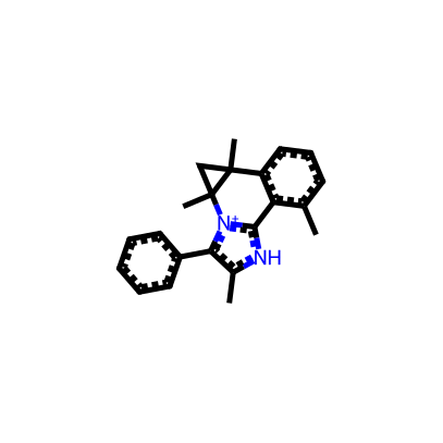 Cc1cccc2c1-c1[nH]c(C)c(-c3ccccc3)[n+]1C1(C)CC21C